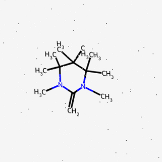 C=C1N(C)C(C)(C)C(C)(C)C(C)(C)N1C